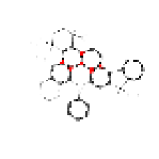 CC1(C)CCC(C)(C)c2cc(-c3cc4c(cc3N(c3ccccc3)c3c(-c5ccccc5)ccc5c3CCCC5)C(C)(C)c3ccccc3-4)ccc21